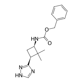 CC1(C)[C@@H](c2nc[nH]n2)C[C@H]1NC(=O)OCc1ccccc1